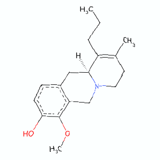 CCCC1=C(C)CCN2Cc3c(ccc(O)c3OC)C[C@@H]12